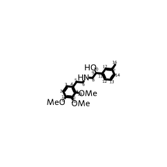 COc1ccc(CCNC[C@@H](O)c2cccc(C)c2)c(OC)c1OC